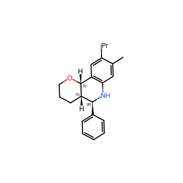 Cc1cc2c(cc1C(C)C)[C@H]1OCCC[C@H]1[C@H](c1ccccc1)N2